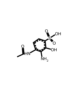 CC(=O)Nc1ccc(S(=O)(=O)O)c(O)c1N